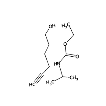 C#CCCCCO.CCOC(=O)NC(C)C